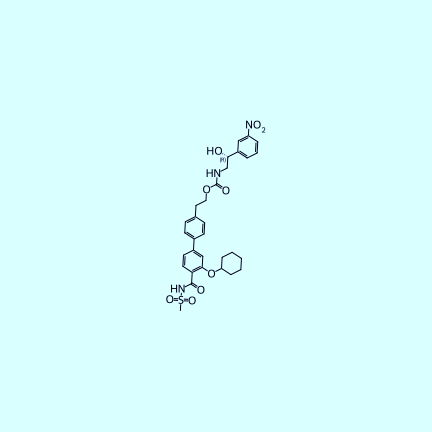 CS(=O)(=O)NC(=O)c1ccc(-c2ccc(CCOC(=O)NC[C@H](O)c3cccc([N+](=O)[O-])c3)cc2)cc1OC1CCCCC1